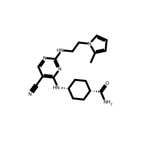 Cc1cccn1CCNc1ncc(C#N)c(N[C@H]2CC[C@@H](C(N)=O)CC2)n1